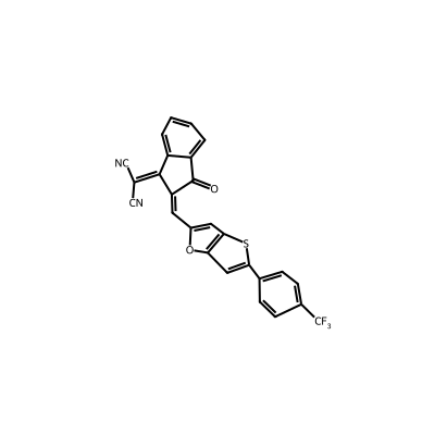 N#CC(C#N)=C1/C(=C/c2cc3sc(-c4ccc(C(F)(F)F)cc4)cc3o2)C(=O)c2ccccc21